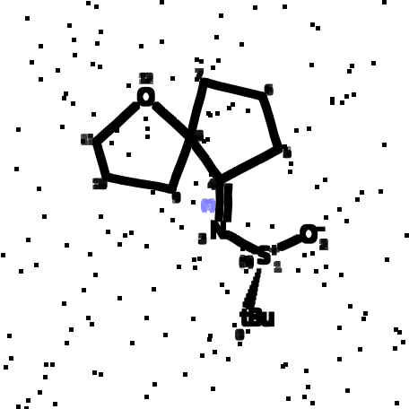 CC(C)(C)[S@@+]([O-])/N=C1\CCCC12CCCO2